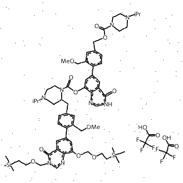 COCc1cc(COC(=O)N2CCN(C(C)C)CC2)ccc1-c1cc(OC(=O)N2CCN(C(C)C)CC2Cc2ccc(-c3cc(OCOCC[Si](C)(C)C)c4ncn(COCC[Si](C)(C)C)c(=O)c4c3)c(COC)c2)c2nc[nH]c(=O)c2c1.O=C(O)C(F)(F)F.O=C(O)C(F)(F)F